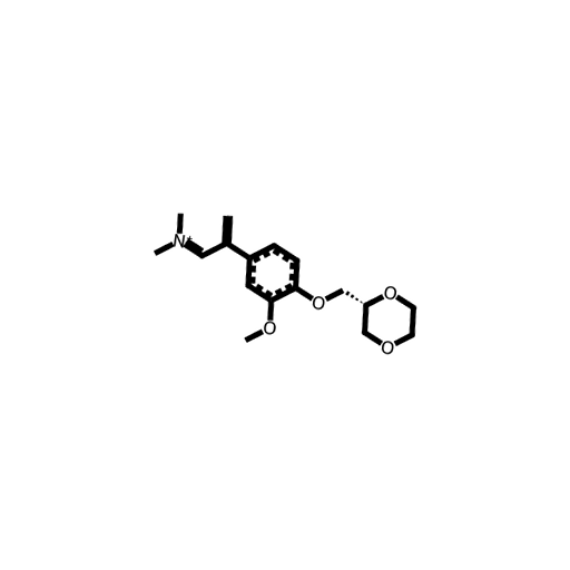 C=C(C=[N+](C)C)c1ccc(OC[C@H]2COCCO2)c(OC)c1